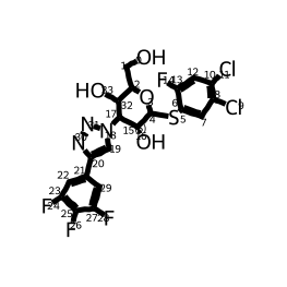 OCC1OC(Sc2cc(Cl)c(Cl)cc2F)[C@@H](O)C(n2cc(-c3cc(F)c(F)c(F)c3)nn2)C1O